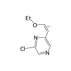 CCO/C=C\c1cncc(Cl)n1